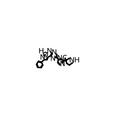 N#CC1(c2cc(-c3cnc(N)c(-c4cc(-c5ccccc5)no4)n3)ccn2)CCCNC1